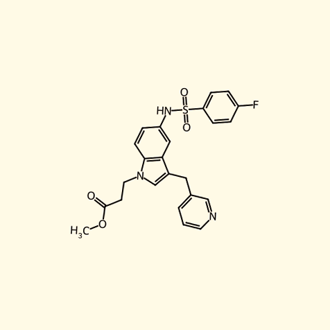 COC(=O)CCn1cc(Cc2cccnc2)c2cc(NS(=O)(=O)c3ccc(F)cc3)ccc21